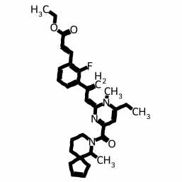 C=C(/C=C1/N=C(C(=O)N2CCCC3(CC=CC3)C2C)C=C(CC)N1C)c1cccc(/C=C/C(=O)OCC)c1F